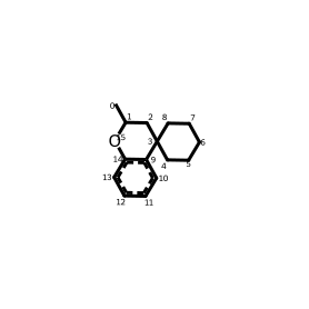 CC1CC2(CCCCC2)c2ccccc2O1